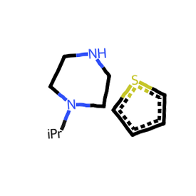 CC(C)N1CCNCC1.c1ccsc1